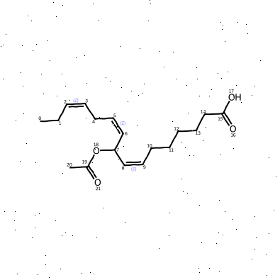 CC/C=C\C/C=C\C(/C=C\CCCCCC(=O)O)OC(C)=O